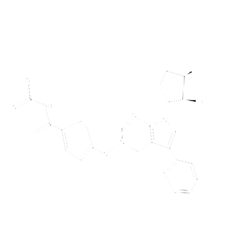 C[C@H]1O[C@@H](n2cc(-c3ccccc3)c3c2N=CN(Nc2ccc(C(=O)NC(=N)N)cc2)C3)[C@H](O)[C@@H]1O